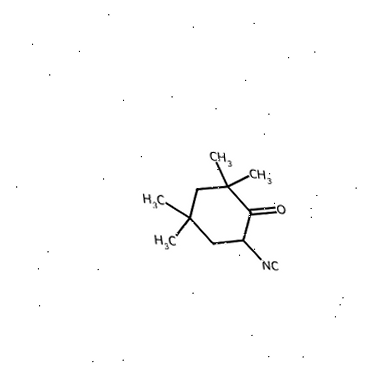 [C-]#[N+]C1CC(C)(C)CC(C)(C)C1=O